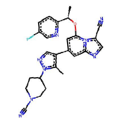 Cc1c(-c2cc(O[C@H](C)c3ccc(F)cn3)n3c(C#N)cnc3c2)cnn1C1CCN(C#N)CC1